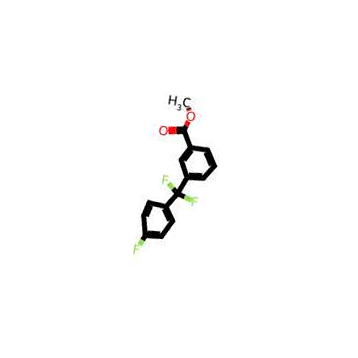 COC(=O)c1cccc(C(F)(F)c2ccc(F)cc2)c1